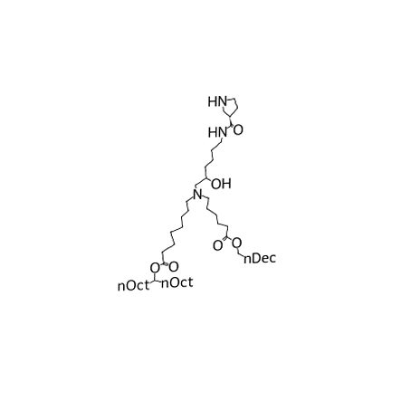 CCCCCCCCCCCOC(=O)CCCCCN(CCCCCCCC(=O)OC(CCCCCCCC)CCCCCCCC)CC(O)CCCCNC(=O)[C@@H]1CCNC1